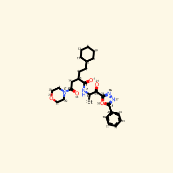 CCC(NC(=O)C(CCC1CCCCC1)CC(=O)N1CCOCC1)C(=O)c1nnc(-c2ccccc2)o1